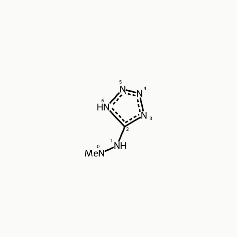 CNNc1nnn[nH]1